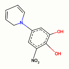 O=[N+]([O-])c1cc(N2C=CC=CC2)cc(O)c1O